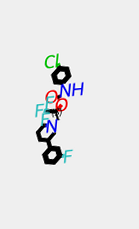 O=C(Nc1ccc(Cl)cc1)O[C@@H](CN1CCCC(c2cccc(F)c2)C1)C(F)(F)F